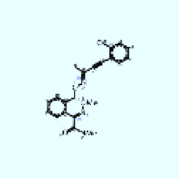 CNC(=O)/C(=N/OC)c1ccccc1CO/N=C(\C)C#Cc1ccccc1Cl